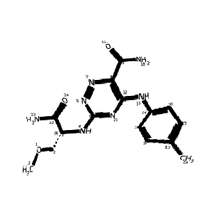 COC[C@@H](Nc1nnc(C(N)=O)c(Nc2ccc(C)cc2)n1)C(N)=O